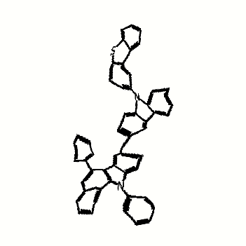 c1ccc(-c2cc3ccccc3c3c2c2cc(-c4ccc5c(c4)c4ccccc4n5-c4ccc5sc6ccccc6c5c4)ccc2n3-c2ccccc2)cc1